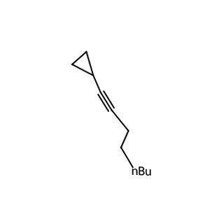 CCCCCCC#CC1CC1